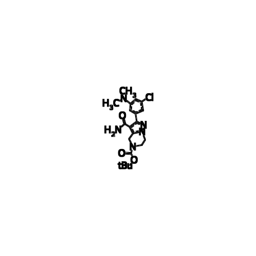 CN(C)c1cc(Cl)cc(-c2nn3c(c2C(N)=O)CN(C(=O)OC(C)(C)C)CC3)c1